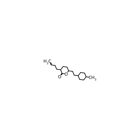 C=CCCC1CCC(CCC2CCC(C)CC2)OC1=O